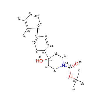 Cc1cccc(C2=CCC(C3(O)CCN(C(=O)OC(C)(C)C)CC3)C=C2)c1C